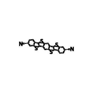 N#Cc1ccc2c(c1)sc1c3cc4sc5c6ccc(C#N)cc6sc5c4cc3sc21